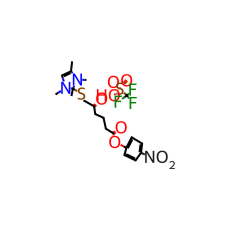 CC1=CN(C)C(C)(SCC(=O)CCCC(=O)Oc2ccc([N+](=O)[O-])cc2)N1C.O=S(=O)(O)C(F)(F)F